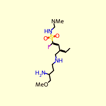 C/C=C(\C=C(/I)S(=O)(=O)NCNC)CNCCC(N)COC